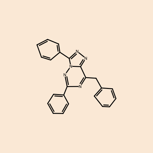 c1ccc(Cc2nc(-c3ccccc3)nn3c(-c4ccccc4)nnc23)cc1